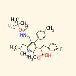 Cc1ccc(-c2c(CNC(=O)OC(C)(C)C)c(CC(C)C)nc(C)c2C(Cc2ccc(F)cc2)C(=O)O)cc1